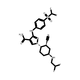 N#C[C@H]1C[C@@H](NCC(F)F)CC[C@@H]1n1cc(C(N)=O)c(Nc2ccc(S(=O)(=O)C(F)F)cc2)n1